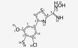 COc1cc(-c2csc(C(=N)NO)n2)cc(Cl)c1SC